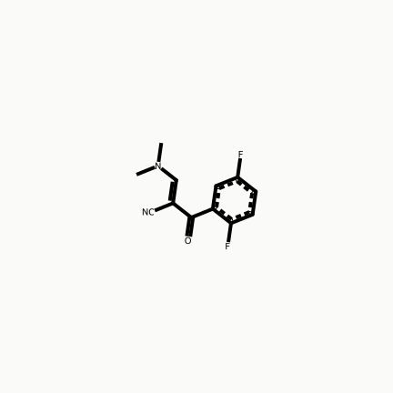 CN(C)C=C(C#N)C(=O)c1cc(F)ccc1F